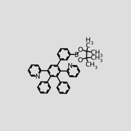 CC1(C)OB(c2cccc(-c3cc(-c4ccccn4)c(-c4ccccc4)c(-c4ccccc4)c3-c3ccccn3)c2)OC1(C)C